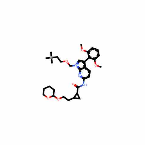 COc1cccc(OC)c1-c1cn(COCC[Si](C)(C)C)c2nc(NC(=O)C3CC3CCOC3CCCCO3)ccc12